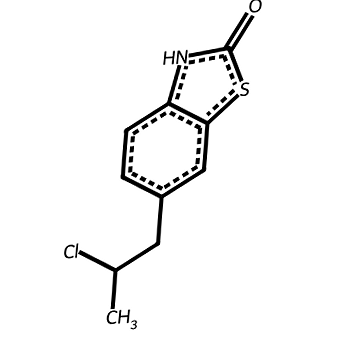 CC(Cl)Cc1ccc2[nH]c(=O)sc2c1